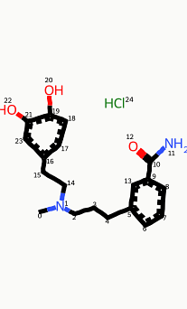 CN(CCCc1cccc(C(N)=O)c1)CCc1ccc(O)c(O)c1.Cl